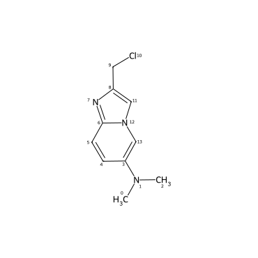 CN(C)c1ccc2nc(CCl)cn2c1